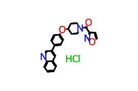 Cl.O=C(c1ccon1)N1CCC(Oc2ccc(-c3cnc4ccccc4c3)cc2)CC1